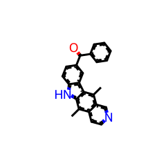 Cc1c2ccncc2c(C)c2c1[nH]c1ccc(C(=O)c3ccccc3)cc12